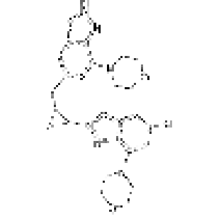 Clc1cc(N2CCOCC2)c2nn(C3CC3Cc3cc(N4CCOCC4)c4n[nH]cc4c3)cc2c1